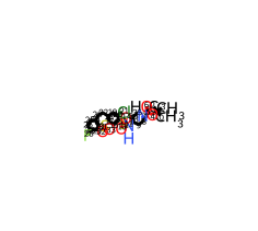 CC(C)(C)OC(=O)N1CCC(NS(=O)(=O)c2cc3c(cc2Cl)CCc2ccc(F)cc2S3(=O)=O)CC1